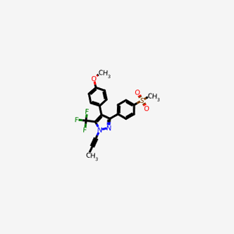 CC#Cn1nc(-c2ccc(S(C)(=O)=O)cc2)c(-c2ccc(OC)cc2)c1C(F)(F)F